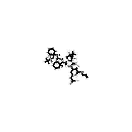 C=CCNC(=O)C(=O)C(CCCC(F)F)NC(=O)[C@@H]1[C@@H]2[C@H](CN1C(=O)[C@@H](NC(=O)NC1(CS(=O)(=O)C(C)(C)C)CCCCC1)C1(C)CCCCC1)C2(C)C